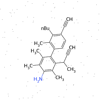 C#Cc1ccc(-c2c(C)c(C)c(N)c(C)c2C(C)C#C)c(C)c1CCCC